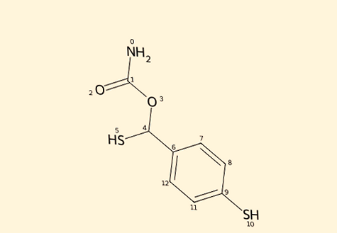 NC(=O)OC(S)c1ccc(S)cc1